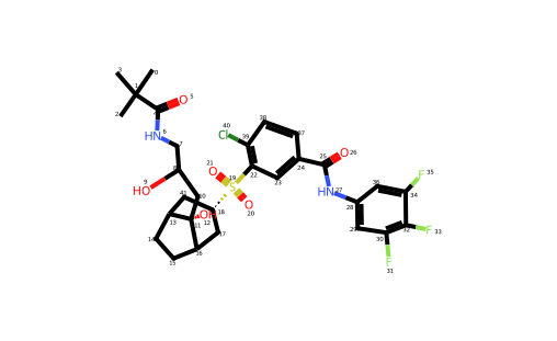 CC(C)(C)C(=O)NCC(O)C[C@]1(O)C2CCC1C[C@@H](S(=O)(=O)c1cc(C(=O)Nc3cc(F)c(F)c(F)c3)ccc1Cl)C2